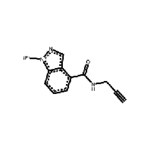 C#CCNC(=O)c1cccc2c1cnn2C(C)C